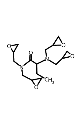 CCC(C(=O)N(CC1CO1)CC1CO1)N(CC1CO1)CC1CO1